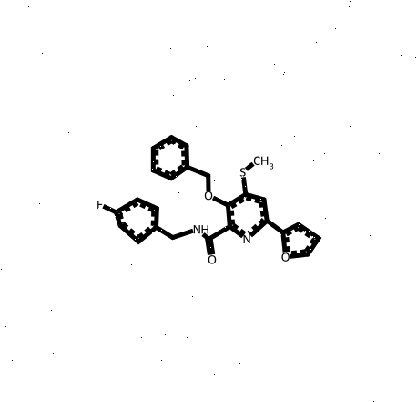 CSc1cc(-c2ccco2)nc(C(=O)NCc2ccc(F)cc2)c1OCc1ccccc1